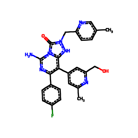 Cc1ccc(Cn2[nH]c3c(-c4cc(C)nc(CO)c4)c(-c4ccc(F)cc4)nc(N)[n+]3c2=O)nc1